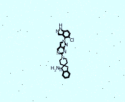 N[C@@H]1c2ccccc2CC12CCN(c1ncc3cn(-c4c(Cl)ccc5[nH]ncc45)nc3n1)CC2